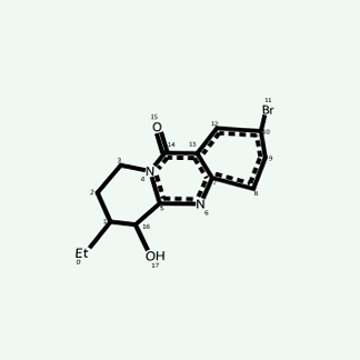 CCC1CCn2c(nc3ccc(Br)cc3c2=O)C1O